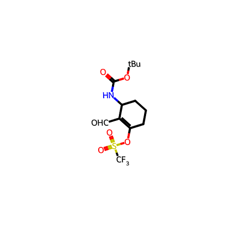 CC(C)(C)OC(=O)NC1CCCC(OS(=O)(=O)C(F)(F)F)=C1C=O